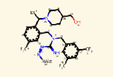 CCC(c1ccc(C(F)(F)F)cc1CN(Cc1cc(C(F)(F)F)cc(C(F)(F)F)c1)C(=N)/N=N\NC)N1CCC(CO)CC1